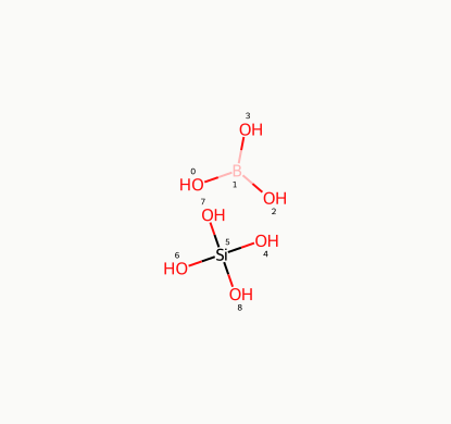 OB(O)O.O[Si](O)(O)O